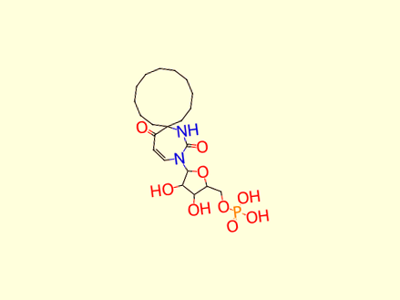 O=C1NC2(CCCCCCCCCCC2)C(=O)C=CN1C1OC(COP(=O)(O)O)C(O)C1O